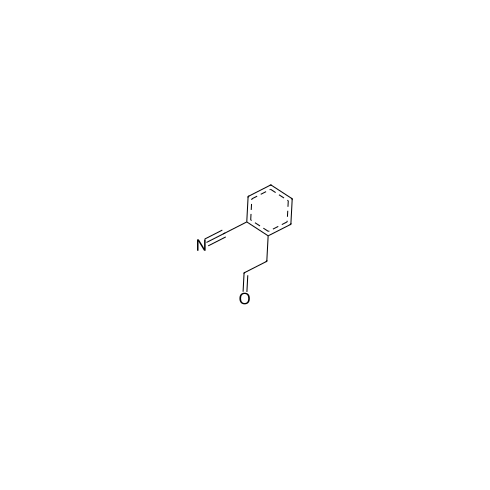 N#Cc1ccccc1CC=O